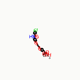 COC(Cc1ccc(OCCCOc2ccc(NC(=O)c3ccc(Cl)cc3)cc2)cc1)C(=O)O